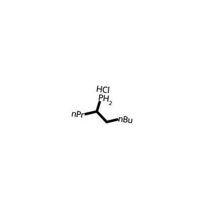 CCCCCC(P)CCC.Cl